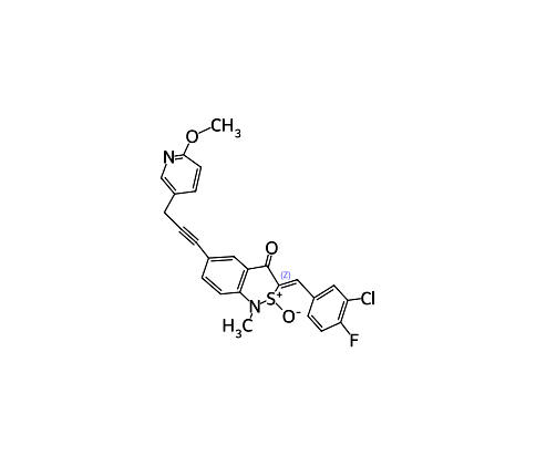 COc1ccc(CC#Cc2ccc3c(c2)C(=O)/C(=C/c2ccc(F)c(Cl)c2)[S+]([O-])N3C)cn1